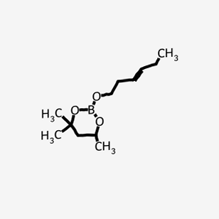 CCC=CCCOB1OC(C)CC(C)(C)O1